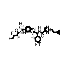 C[C@@H](NC(=O)C(F)C(F)CF)c1ccc2nc([C@@H](NC(=O)c3cnn(CCC4CC4)n3)C3CCC(F)(F)CC3)[nH]c2c1